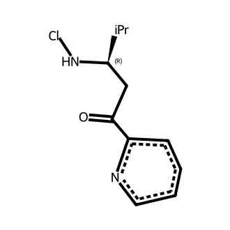 CC(C)[C@@H](CC(=O)c1ccccn1)NCl